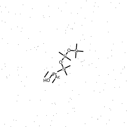 CC.CC(C)=O.CC(C)O.C[Si](C)(C)O[Si](C)(C)O[Si](C)(C)C